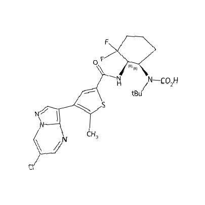 Cc1sc(C(=O)N[C@@H]2[C@H](N(C(=O)O)C(C)(C)C)CCCC2(F)F)cc1-c1cnn2cc(Cl)cnc12